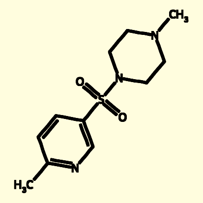 Cc1ccc(S(=O)(=O)N2CCN(C)CC2)cn1